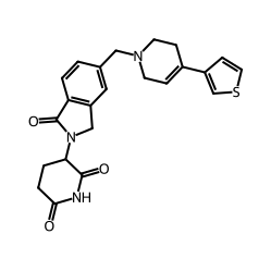 O=C1CCC(N2Cc3cc(CN4CC=C(c5ccsc5)CC4)ccc3C2=O)C(=O)N1